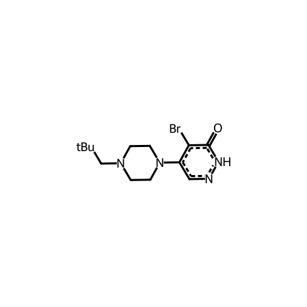 CC(C)(C)CN1CCN(c2cn[nH]c(=O)c2Br)CC1